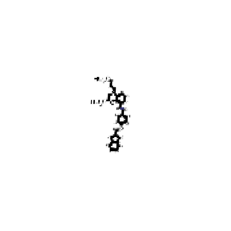 O=C(O)CCCN1CC(C(=O)O)Oc2c(/C=C/c3ccc(OCC4Cc5ccccc5C4)cc3)cccc21